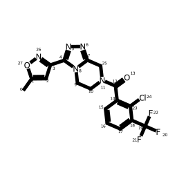 Cc1cc(-c2nnc3n2CCN(C(=O)c2cccc(C(F)(F)F)c2Cl)C3)no1